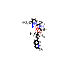 CC(C)c1ccc2ccc(/C=C/C(C)(C)C(=O)O[C@H](C(=O)N[C@@H](C)C(=O)N3CCC[C@@H](C(=O)O)N3)C(C)C)cc2n1